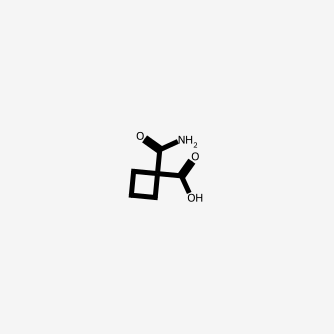 NC(=O)C1(C(=O)O)CCC1